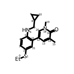 CCSc1ccc(NCC2CC2)c(-c2cc(C)c(=O)n(C)c2)c1